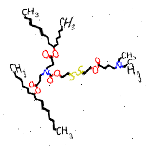 CCCCCCCCC(CCCCCC)OC(=O)CCN(CCC(=O)OC(CCCCCC)CCCCCCCC)C(=O)OCCSSCCOC(=O)CCCN(CC)CC